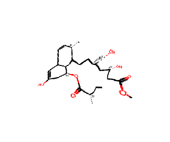 CC[C@H](C)C(=O)O[C@H]1CC(O)=CC2C=C[C@H](C)C(CC[C@H](O)C[C@H](O)CC(=O)OC)C21